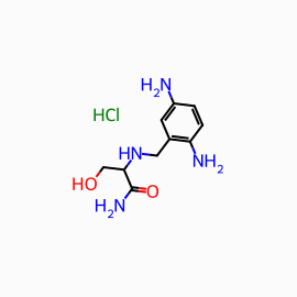 Cl.NC(=O)C(CO)NCc1cc(N)ccc1N